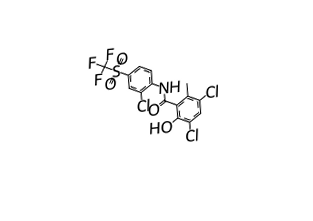 Cc1c(Cl)cc(Cl)c(O)c1C(=O)Nc1ccc(S(=O)(=O)C(F)(F)F)cc1Cl